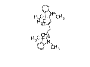 CCN1/C(=C/C=C/C(Cl)=C/C2=[N+](CC)c3ccccc3C2(C)C)C(C)(C)c2ccccc21